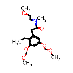 CCc1c(CC(=O)N(C)CCOC)cc(OCOC)cc1OCOC